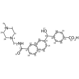 CN1CCN(CNC(=O)c2ccc3ccc(C(O)c4ccc(C(=O)O)cc4)cc3c2)CC1